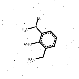 CCN(C)c1cccc(CC(=O)O)c1OC